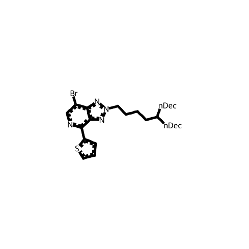 CCCCCCCCCCC(CCCCCCCCCC)CCCCn1nc2c(Br)cnc(-c3cccs3)c2n1